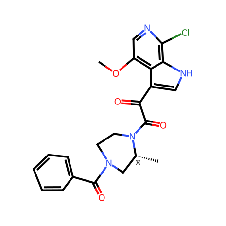 COc1cnc(Cl)c2[nH]cc(C(=O)C(=O)N3CCN(C(=O)c4ccccc4)C[C@H]3C)c12